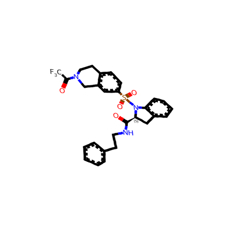 O=C(NCCc1ccccc1)[C@@H]1Cc2ccccc2N1S(=O)(=O)c1ccc2c(c1)CN(C(=O)C(F)(F)F)CC2